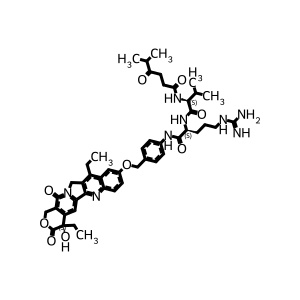 CCc1c2c(nc3ccc(OCc4ccc(NC(=O)[C@H](CCCNC(=N)N)NC(=O)[C@@H](NC(=O)CCC(=O)C(C)C)C(C)C)cc4)cc13)-c1cc3c(c(=O)n1C2)COC(=O)[C@]3(O)CC